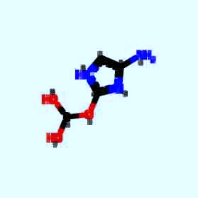 Nc1c[nH]c(OB(O)O)n1